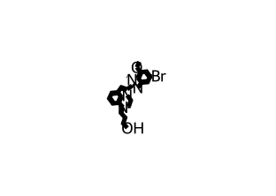 COc1cc(Br)cc2nc(-c3cc4cccc5c4n3CCN5CCCO)n(C)c12